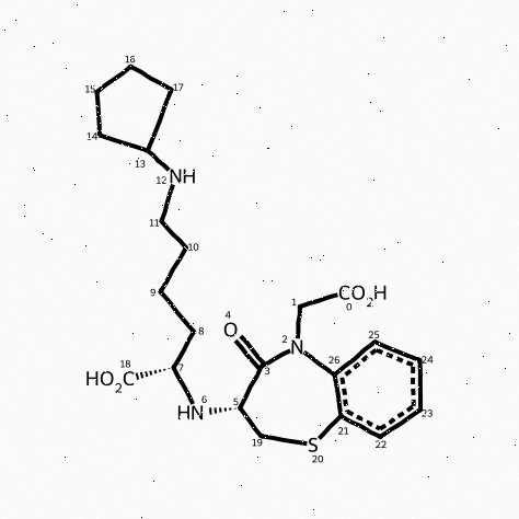 O=C(O)CN1C(=O)[C@@H](N[C@@H](CCCCNC2CCCC2)C(=O)O)CSc2ccccc21